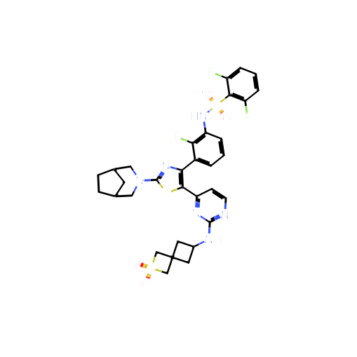 O=S1(=O)CC2(CC(Nc3nccc(-c4sc(N5CC6CCC(C6)C5)nc4-c4cccc(NS(=O)(=O)c5c(F)cccc5F)c4F)n3)C2)C1